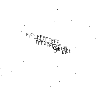 CC[N+](CC)(CC)CC.O=S(=O)([O-])C(F)(F)C(F)(F)C(F)(F)C(F)(F)C(F)(F)C(F)(F)C(F)(F)C(F)(F)CCC(F)(F)F